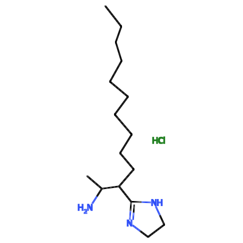 CCCCCCCCCCC(C1=NCCN1)C(C)N.Cl